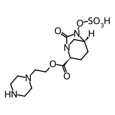 O=C(OCCN1CCNCC1)[C@@H]1CC[C@@H]2CN1C(=O)N2OS(=O)(=O)O